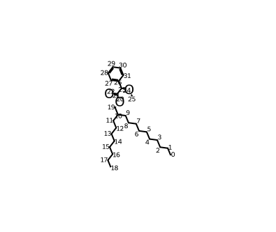 CCCCCCCCCCC(CCCCCCCC)COC(=O)C(OC)c1ccccc1